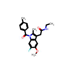 CCNC(=O)Cc1c(C)n(C(=O)c2ccc(C)cc2)c2cc(F)c(OC)cc12